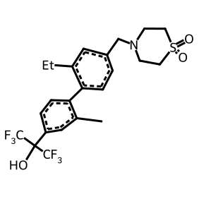 CCc1cc(CN2CCS(=O)(=O)CC2)ccc1-c1ccc(C(O)(C(F)(F)F)C(F)(F)F)cc1C